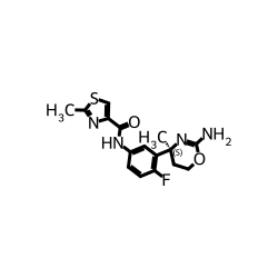 Cc1nc(C(=O)Nc2ccc(F)c([C@]3(C)CCOC(N)=N3)c2)cs1